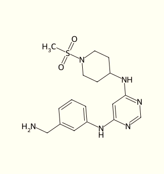 CS(=O)(=O)N1CCC(Nc2cc(Nc3cccc(CN)c3)ncn2)CC1